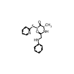 C[C@H](NC(=O)CNc1ccccc1)C(=O)SSc1ccccn1